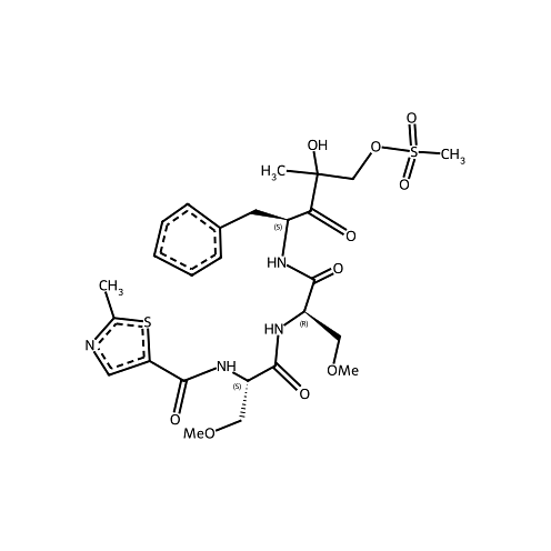 COC[C@H](NC(=O)c1cnc(C)s1)C(=O)N[C@H](COC)C(=O)N[C@@H](Cc1ccccc1)C(=O)C(C)(O)COS(C)(=O)=O